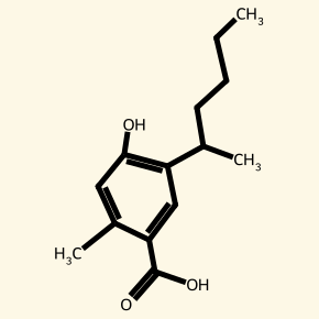 CCCCC(C)c1cc(C(=O)O)c(C)cc1O